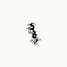 CN(C)CC(C)(C)Oc1ccc2[nH]c(-c3c[c]c(C(N)=O)[nH]c3=O)cc2c1